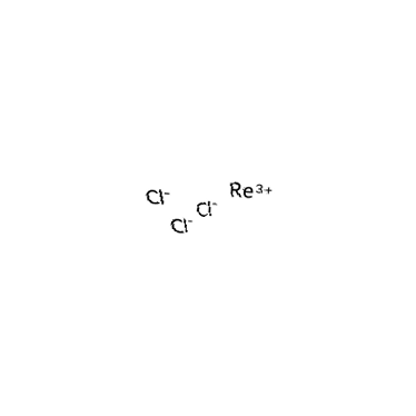 [Cl-].[Cl-].[Cl-].[Re+3]